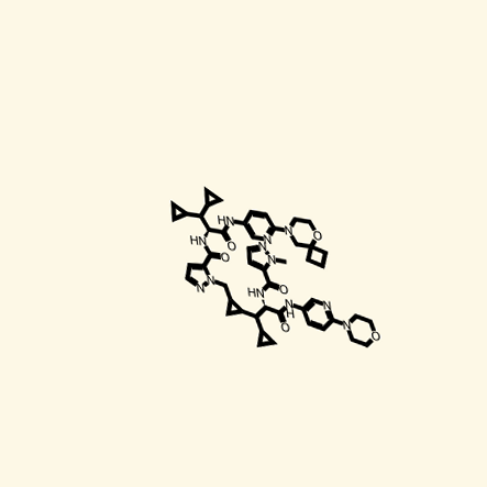 Cn1nccc1C(=O)N[C@H](C(=O)Nc1ccc(N2CCOCC2)nc1)C(C1CC1)C1CC1Cn1nccc1C(=O)N[C@H](C(=O)Nc1ccc(N2CCOC3(CCC3)C2)nc1)C(C1CC1)C1CC1